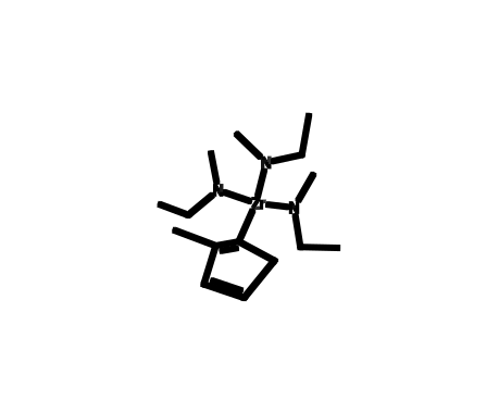 CC[N](C)[Zr]([C]1=C(C)C=CC1)([N](C)CC)[N](C)CC